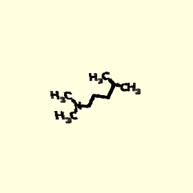 C[C](C)CCCN(C)C